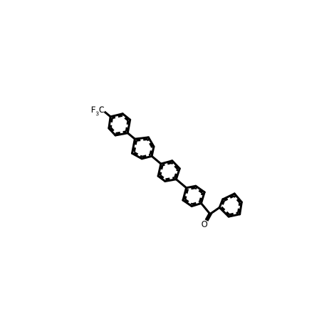 O=C(c1ccccc1)c1ccc(-c2ccc(-c3ccc(-c4ccc(C(F)(F)F)cc4)cc3)cc2)cc1